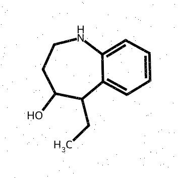 CCC1c2ccccc2NCCC1O